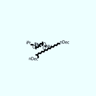 CCCCCCCCCCCCCCCCCC(CCCCCCC(C)CCCCCCCCCCC)NC(=O)OC(C)(C)C[C@](C)(CC)CC(C)(CC)OCCC(C)C